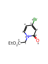 CCOC(=O)Cn1ccc(Br)cc1=O